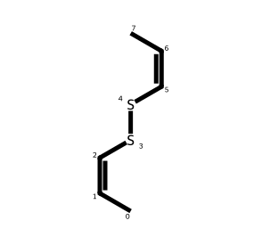 C/C=C\SS/C=C\C